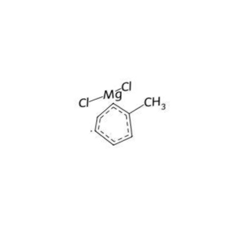 Cc1cc[c]cc1.[Cl][Mg][Cl]